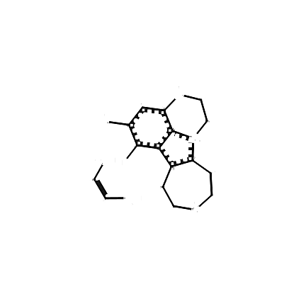 Fc1c(Cl)cc2c3c1c1c(n3CCO2)CCNCC1.O=C(O)/C=C\C(=O)O